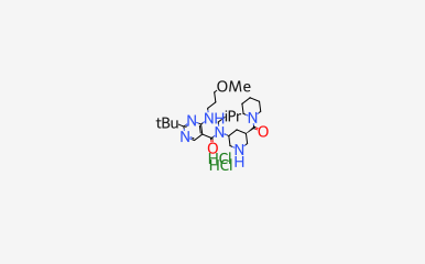 COCCCNc1nc(C(C)(C)C)ncc1C(=O)N(CC(C)C)[C@@H]1CNC[C@H](C(=O)N2CCCCC2)C1.Cl.Cl